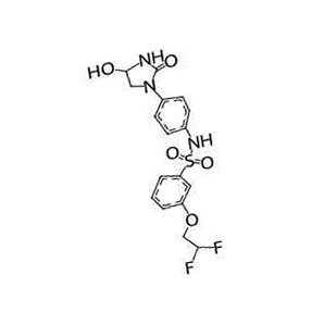 O=C1NC(O)CN1c1ccc(NS(=O)(=O)c2cccc(OCC(F)F)c2)cc1